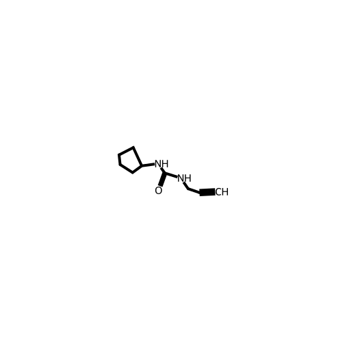 C#CCNC(=O)NC1CCCC1